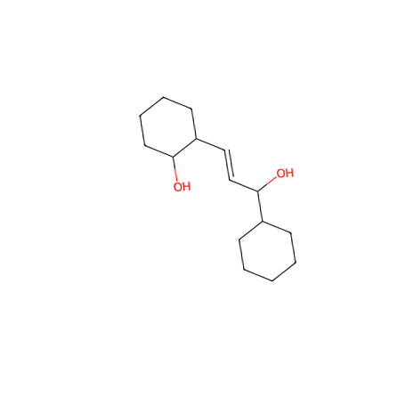 OC(/C=C/C1CCCCC1O)C1CCCCC1